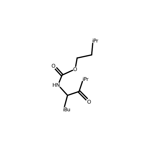 CCC(C)C(NC(=O)OCCC(C)C)C(=O)C(C)C